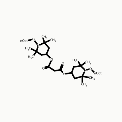 CCCCCCCCON1C(C)(C)CC(OC(=O)CC(=O)OC2CC(C)(C)N(OCCCCCCCC)C(C)(C)C2)CC1(C)C